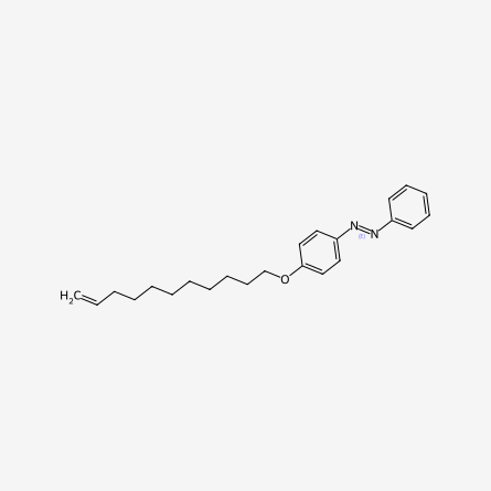 C=CCCCCCCCCCOc1ccc(/N=N/c2ccccc2)cc1